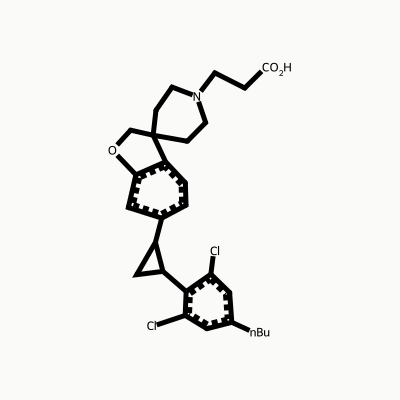 CCCCc1cc(Cl)c(C2CC2c2ccc3c(c2)OCC32CCN(CCC(=O)O)CC2)c(Cl)c1